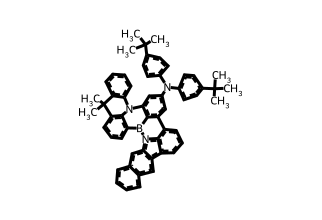 CC(C)(C)c1ccc(N(c2ccc(C(C)(C)C)cc2)c2cc3c4c(c2)N2c5ccccc5C(C)(C)c5cccc(c52)B4n2c4cc5ccccc5cc4c4cccc-3c42)cc1